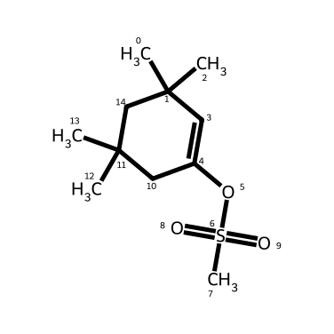 CC1(C)C=C(OS(C)(=O)=O)CC(C)(C)C1